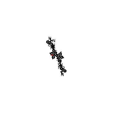 CC1=CC=C(C2(c3ccc(C)cc3)c3cc4c(cc3-c3sc5c(sc6cc(-c7nc8sc(/C=C9\C(=O)c%10ccccc%10\C9=C(\C)C#N)nc8s7)sc65)c32)C(c2ccc(C)cc2)(c2ccc(C)cc2)c2c-4sc3cc(-c4nc5sc(/C=C6\C(=O)c7ccccc7C6=C(C#N)C#N)nc5s4)ccc23)CC1